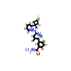 Cc1cc(NCC2(c3ccccn3)CC(F)C2)nnc1-c1cc(C(N)=O)ccc1F